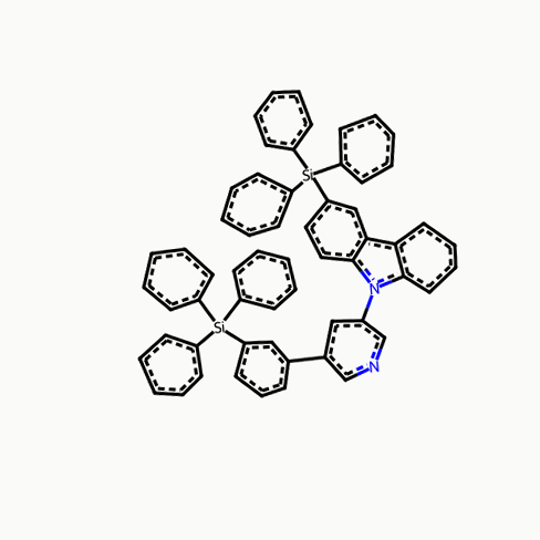 c1ccc([Si](c2ccccc2)(c2ccccc2)c2cccc(-c3cncc(-n4c5ccccc5c5cc([Si](c6ccccc6)(c6ccccc6)c6ccccc6)ccc54)c3)c2)cc1